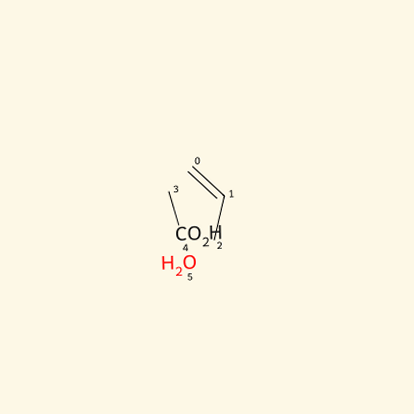 C=CC.CC(=O)O.O